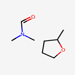 CC1CCCO1.CN(C)C=O